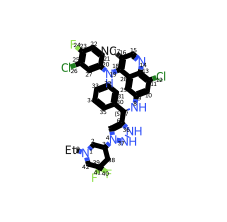 CCN1CC(N2C=C([C@@H](Nc3cc(Cl)c4ncc(C#N)c(Nc5ccc(F)c(Cl)c5)c4c3)c3ccccc3)NN2)CC(F)(F)C1